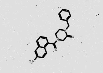 O=C1CN(C(=O)c2cccc3cc([N+](=O)[O-])ccc23)CCN1Cc1ccccc1